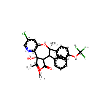 COC(=O)C1C(c2ccccc2)[C@](C)(c2ccc(OC(F)(F)F)cc2)Oc2cc(Cl)cnc2[C@@]1(O)C(C)=O